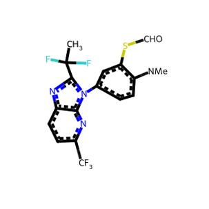 CNc1ccc(-n2c(C(C)(F)F)nc3ccc(C(F)(F)F)nc32)cc1SC=O